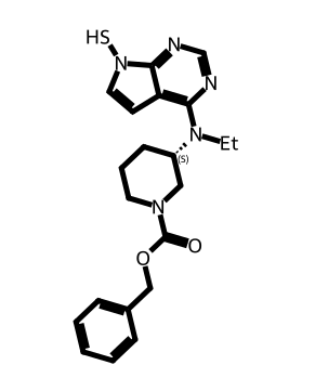 CCN(c1ncnc2c1ccn2S)[C@H]1CCCN(C(=O)OCc2ccccc2)C1